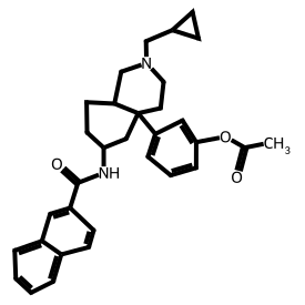 CC(=O)Oc1cccc(C23CCN(CC4CC4)CC2CCC(NC(=O)c2ccc4ccccc4c2)C3)c1